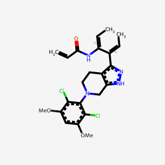 C=CC(=O)NC(=C/C)/C(=C\C)c1n[nH]c2c1CCN(c1c(Cl)c(OC)cc(OC)c1Cl)C2